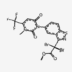 COC(=O)C(Br)(Br)c1nsc2ccc(-n3c(=O)cc(C(F)(F)F)n(C)c3=O)cc12